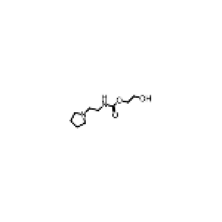 O=C(NCCN1CCCC1)OCCO